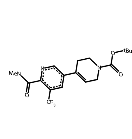 CNC(=O)c1ncc(C2=CCN(C(=O)OC(C)(C)C)CC2)cc1C(F)(F)F